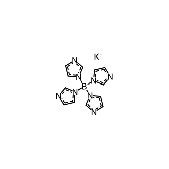 [K+].c1cn([B-](n2ccnc2)(n2ccnc2)n2ccnc2)cn1